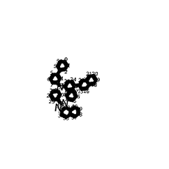 c1ccc(-c2cccc(N(c3ccc(-c4ccc5ccccc5c4)cc3)c3cccc(-c4nc5ccc6ccccc6c5n4-c4ccccc4)c3)c2)cc1